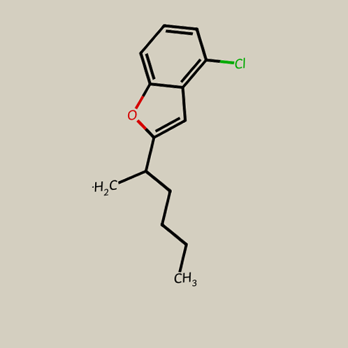 [CH2]C(CCCC)c1cc2c(Cl)cccc2o1